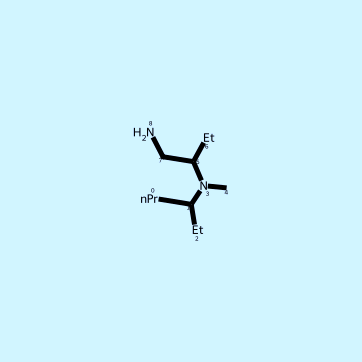 CCCC(CC)N(C)C(CC)CN